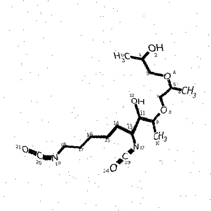 CC(O)COC(C)COC(C)C(O)C(CCCCCN=C=O)N=C=O